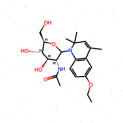 CCOc1ccc2c(c1)C(C)=CC(C)(C)N2C1O[C@H](CO)[C@@H](O)[C@H](O)[C@H]1NC(C)=O